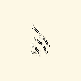 [AlH3].[O]=[Hf].[O]=[Ti]=[O].[O]=[Zn].[O]=[Zr]